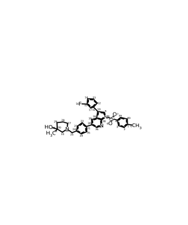 Cc1ccc(S(=O)(=O)n2cc(-c3cccc(F)c3)c3cc(-c4ccc(CN5CCCC(C)(O)C5)cc4)cnc32)cc1